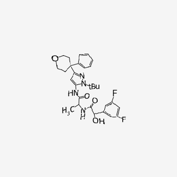 CC(NC(=O)C(O)c1cc(F)cc(F)c1)C(=O)Nc1cc(C2(c3ccccc3)CCOCC2)nn1C(C)(C)C